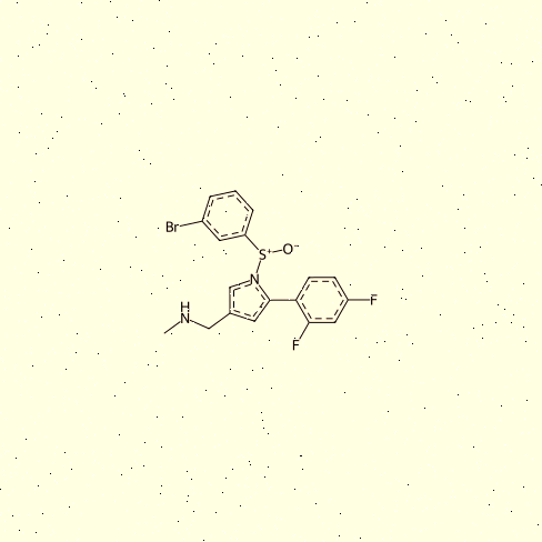 CNCc1cc(-c2ccc(F)cc2F)n([S+]([O-])c2cccc(Br)c2)c1